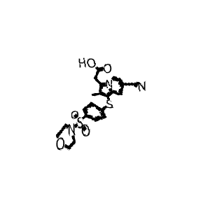 Cc1c(Sc2ccc(S(=O)(=O)N3CCOCC3)cc2)c2cc(C#N)ccn2c1CC(=O)O